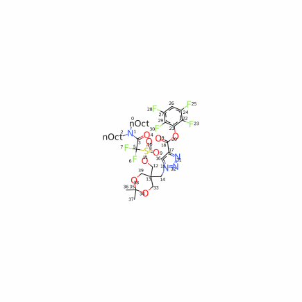 CCCCCCCCN(CCCCCCCC)C(=O)C(F)(F)S(=O)(=O)OCC1(Cn2cc(C(=O)Oc3c(F)c(F)cc(F)c3F)nn2)COC(C)(C)OC1